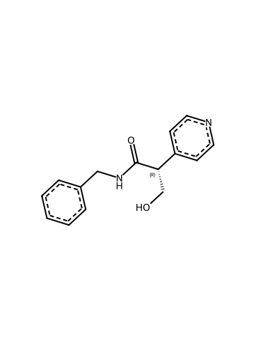 O=C(NCc1ccccc1)[C@@H](CO)c1ccncc1